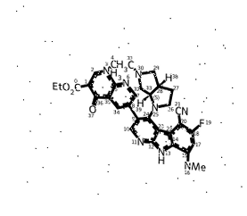 CCOC(=O)c1cn(C)c2ncc(-c3cnc4[nH]c5c(NC)cc(F)c(C#N)c5c4c3N3CC[C@H]4CN(C)C[C@H]43)cc2c1=O